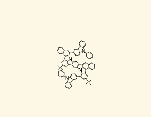 CC(C)(C)c1cc(-c2ccc3c(c2)c2ccccc2n3-c2ccccc2)c2c(c1)c1c3ccccc3cc3c4cc5c(cc4n2c31)c1cc(C(C)(C)C)cc2c3c4ccccc4cc(-c4ccc6c(c4)c4ccccc4n6-c4ccccc4)c3n5c12